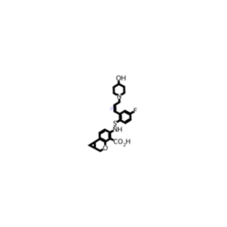 O=C(O)c1c(NSc2ccc(F)cc2/C=C\CN2CCC(O)CC2)ccc2c1OCC1CC21